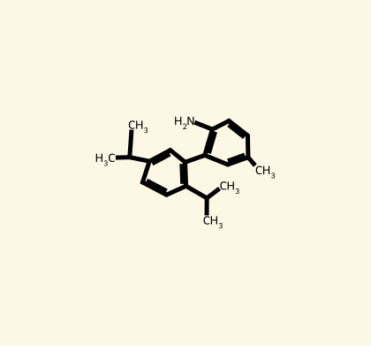 Cc1ccc(N)c(-c2cc(C(C)C)ccc2C(C)C)c1